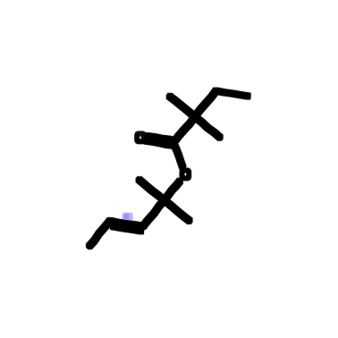 C/C=C/C(C)(C)OC(=O)C(C)(C)CC